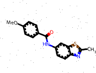 COc1ccc(C(=O)Nc2ccc3nc(C)sc3c2)cc1